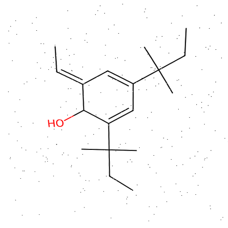 CC=C1C=C(C(C)(C)CC)C=C(C(C)(C)CC)C1O